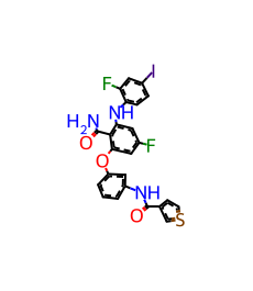 NC(=O)c1c(Nc2ccc(I)cc2F)cc(F)cc1Oc1cccc(NC(=O)c2ccsc2)c1